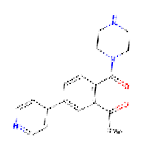 COC(=O)c1cc(-c2ccncc2)ccc1C(=O)N1CCNCC1